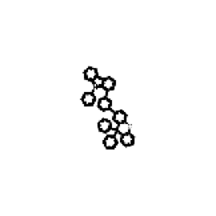 c1ccc(-n2c3ccccc3c3cccc(-c4cccc(-c5ccc6c(c5)C(c5ccccc5)(c5ccccc5)c5ccccc5O6)c4)c32)cc1